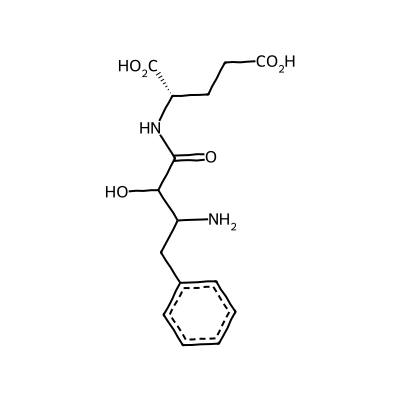 NC(Cc1ccccc1)C(O)C(=O)N[C@@H](CCC(=O)O)C(=O)O